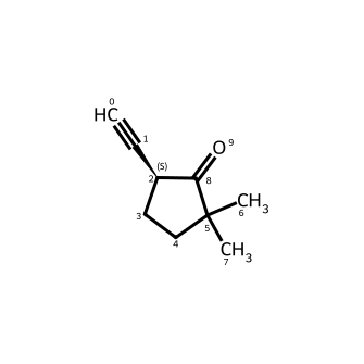 C#C[C@@H]1CCC(C)(C)C1=O